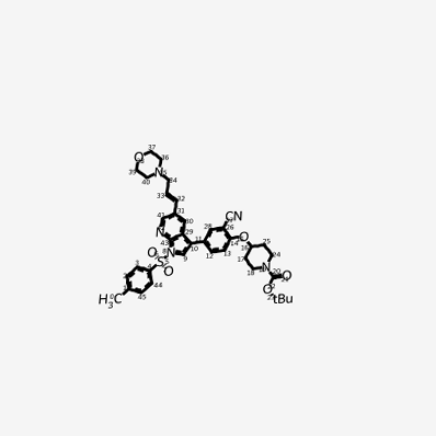 Cc1ccc(S(=O)(=O)n2cc(-c3ccc(OC4CCN(C(=O)OC(C)(C)C)CC4)c(C#N)c3)c3cc(/C=C/CN4CCOCC4)cnc32)cc1